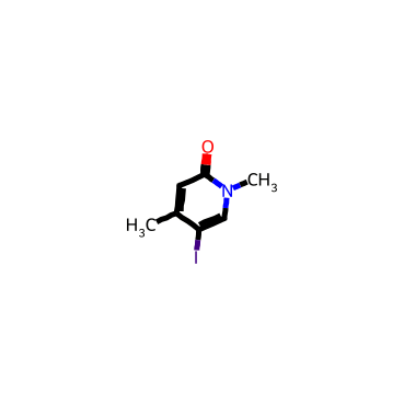 Cc1cc(=O)n(C)cc1I